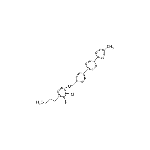 CCCCc1ccc(OCc2ccc(-c3ccc(-c4ccc(C)cc4)cc3)cc2)c(Cl)c1F